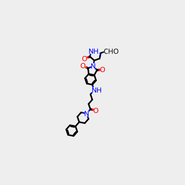 NC(=O)C(CCC=O)N1C(=O)c2ccc(NCCCC(=O)N3CCC(c4ccccc4)CC3)cc2C1=O